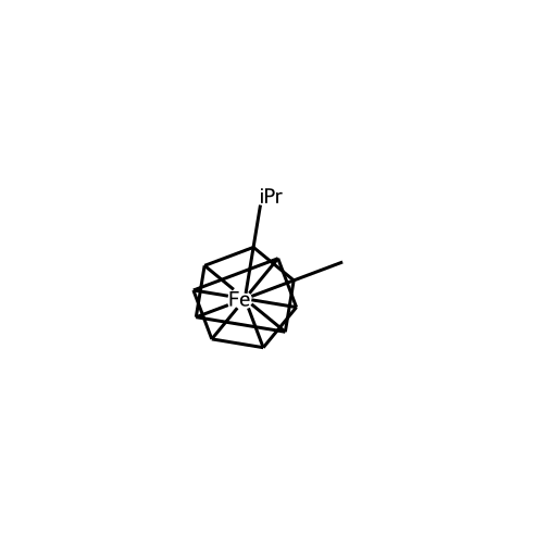 CC(C)[C]12[CH]3[CH]4[CH]5[C]1(C)[Fe]45321678[CH]2[CH]1[CH]6[CH]7[CH]28